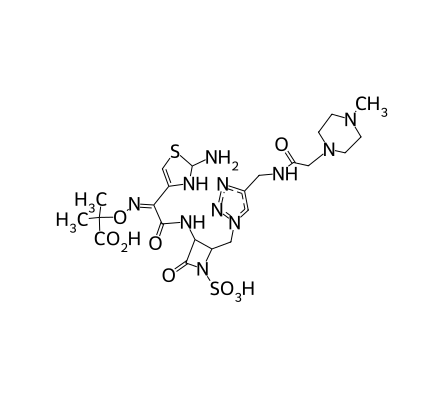 CN1CCN(CC(=O)NCc2cn(CC3C(NC(=O)/C(=N\OC(C)(C)C(=O)O)C4=CSC(N)N4)C(=O)N3S(=O)(=O)O)nn2)CC1